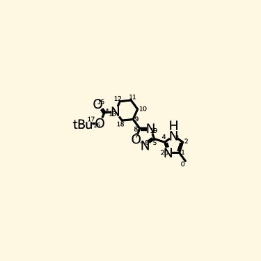 Cc1c[nH]c(-c2noc(C3CCCN(C(=O)OC(C)(C)C)C3)n2)n1